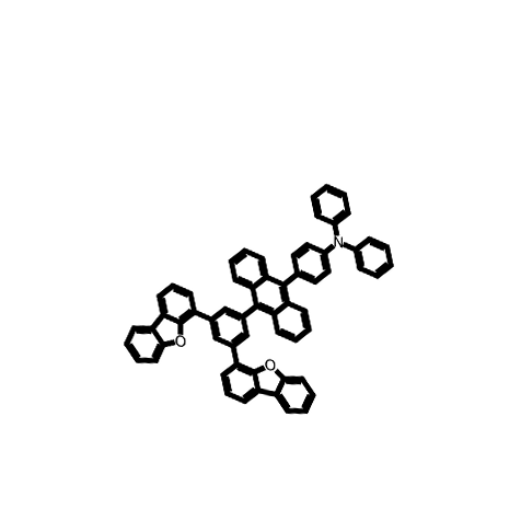 c1ccc(N(c2ccccc2)c2ccc(-c3c4ccccc4c(-c4cc(-c5cccc6c5oc5ccccc56)cc(-c5cccc6c5oc5ccccc56)c4)c4ccccc34)cc2)cc1